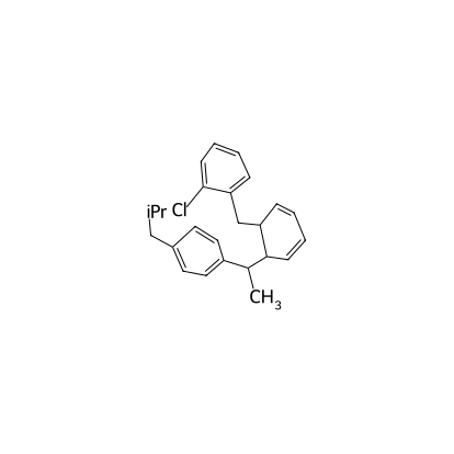 CC(C)Cc1ccc(C(C)C2C=CC=CC2Cc2ccccc2Cl)cc1